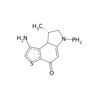 C[C@@H]1CN(P)C2=CC(=O)c3scc(N)c3C21